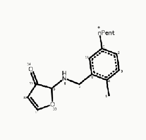 CCCCCc1ccc(C)c(CNC2OC=CC2=O)c1